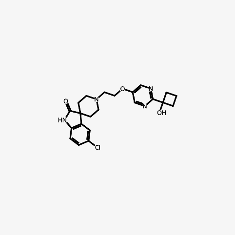 O=C1Nc2ccc(Cl)cc2C12CCN(CCOc1cnc(C3(O)CCC3)nc1)CC2